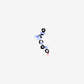 N=C/C(=C\NC1CCN(c2cccc(NC3CCC(=O)CC3)c2)CC1)c1cnc2ccccc2n1